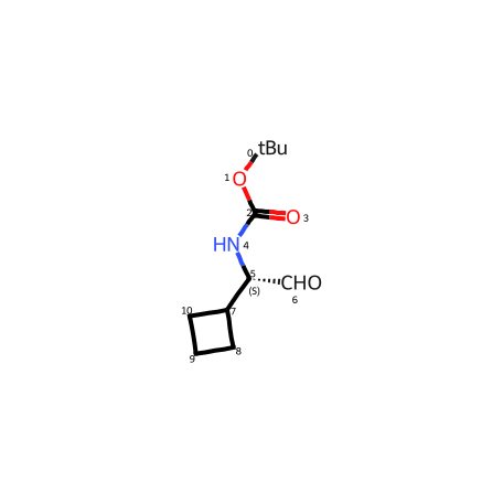 CC(C)(C)OC(=O)N[C@H](C=O)C1CCC1